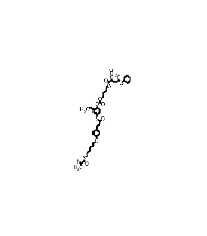 C=C(F)C(=O)SCCCCCCOc1ccc(/C=C/C(=O)Sc2ccc(OC(=O)OCCCCOC(=O)C(=C)CC(=O)OC3CCCCC3)c(CC)c2)cc1